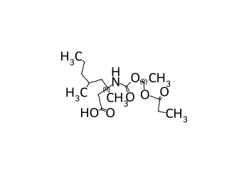 CCCC(C)C[C@](C)(CC(=O)O)NC(=O)O[C@H](C)OC(=O)CC